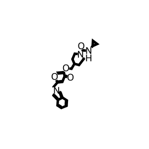 O=C(NC1CC1)N1CCC(COc2coc(Cn3cc4ccccc4c3)cc2=O)CC1